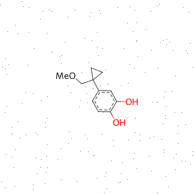 COCC1(c2ccc(O)c(O)c2)CC1